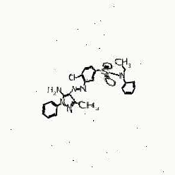 CCN(c1ccccc1)S(=O)(=O)c1ccc(Cl)c(/N=N/c2c(C)nn(-c3ccccc3)c2N)c1